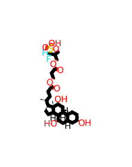 CC(COC(=O)CCOC(=O)CC[C@@H](C)[C@H]1CC[C@H]2[C@@H]3[C@H](O)C[C@@H]4C[C@H](O)CC[C@]4(C)[C@H]3C[C@H](O)[C@]12C)C(F)(F)S(=O)(=O)O